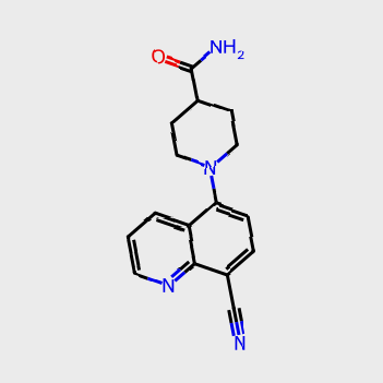 N#Cc1ccc(N2CCC(C(N)=O)CC2)c2cccnc12